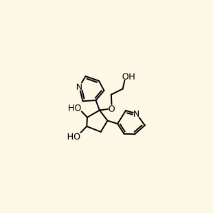 OCCOC1(c2cccnc2)C(c2cccnc2)CC(O)C1O